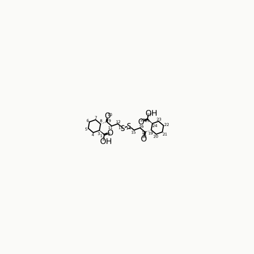 O=C(O)[C@H]1CCCC[C@@H]1C(=O)CCSSCCC(=O)[C@H]1CCCC[C@@H]1C(=O)O